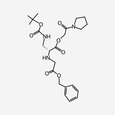 CC(C)(C)OC(=O)NC[C@@H](NCC(=O)OCc1ccccc1)C(=O)OCC(=O)N1CCCC1